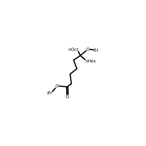 CCCCCCCCC(CCCCCC)(CCCCC(=O)OC(C)C)OCC